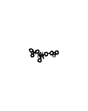 c1ccc(-c2nc(-c3ccc(-c4ccc5c(c4)oc4ccccc45)cc3)nc(-c3cccc(-n4c5ccccc5c5ccccc54)c3)n2)cc1